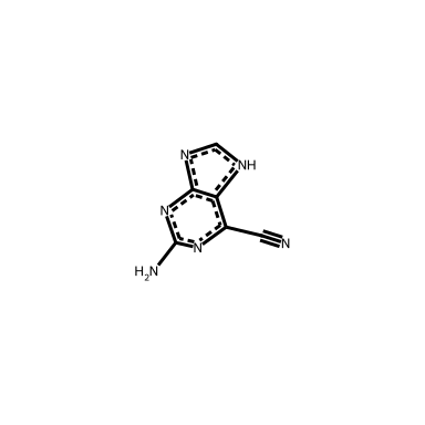 N#Cc1nc(N)nc2nc[nH]c12